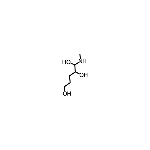 CNC(O)C(O)CCCO